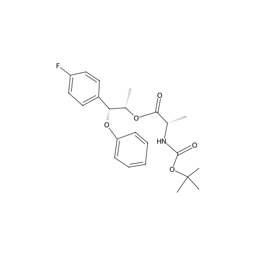 C[C@H](NC(=O)OC(C)(C)C)C(=O)O[C@@H](C)[C@H](Oc1ccccc1)c1ccc(F)cc1